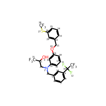 OC(CN(Cc1cccc(C(F)(F)C(F)(F)F)c1)c1cccc(OCc2cccc(SC(F)(F)F)c2)c1)C(F)(F)F